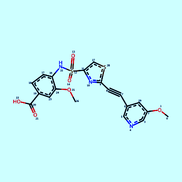 COc1cncc(C#Cc2nc(S(=O)(=O)Nc3ccc(C(=O)O)cc3OC)cs2)c1